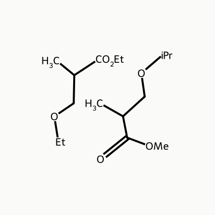 CCOCC(C)C(=O)OCC.COC(=O)C(C)COC(C)C